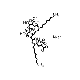 CCCCCCCCN(CC(O)CN(CC(O)CN(CCCCCCCC)C(=O)CC(C(=O)O)S(=O)(=O)[O-])C(C)S(=O)(=O)O)C(=O)CC(C(=O)O)S(=O)(=O)[O-].[Na+].[Na+]